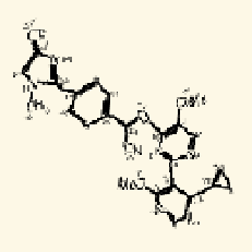 COc1cnc(-c2c(OC)ncnc2C2CC2)nc1OC(C#N)c1ccc(-c2nc(C(F)(F)F)cn2C)cc1